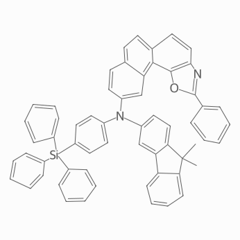 CC1(C)c2ccccc2-c2cc(N(c3ccc([Si](c4ccccc4)(c4ccccc4)c4ccccc4)cc3)c3ccc4ccc5ccc6nc(-c7ccccc7)oc6c5c4c3)ccc21